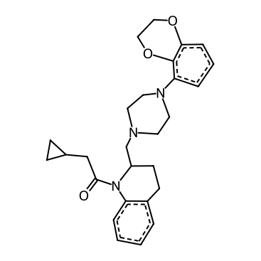 O=C(CC1CC1)N1c2ccccc2CCC1CN1CCN(c2cccc3c2OCCO3)CC1